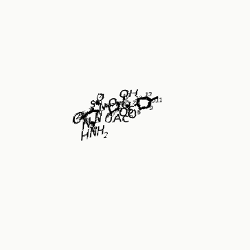 CC(=O)O[C@@H]1[C@@H](OS(=O)(=O)c2ccc(C)cc2)[C@@H](CO)O[C@H]1n1c(=O)sc2c(=O)[nH]c(N)nc21